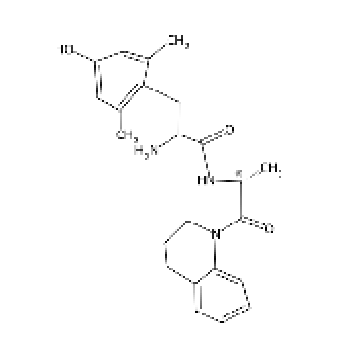 Cc1cc(O)cc(C)c1CC(N)C(=O)N[C@H](C)C(=O)N1CCCc2ccccc21